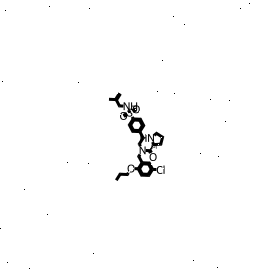 C=C(C)CNS(=O)(=O)c1ccc(CCN(Cc2cc(Cl)ccc2OCCC)C(=O)[C@@H]2CCCN2)cc1